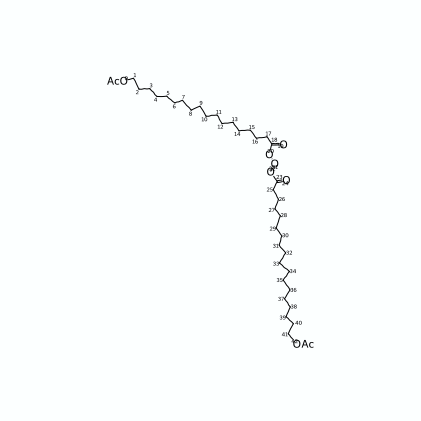 CC(=O)OCCCCCCCCCCCCCCCCCC(=O)OOOC(=O)CCCCCCCCCCCCCCCCCOC(C)=O